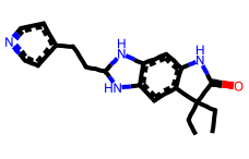 CCC1(CC)C(=O)Nc2cc3c(cc21)NC(CCc1ccncc1)N3